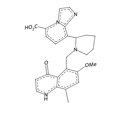 COc1cc(C)c2[nH]ccc(=O)c2c1CN1CCCCC1c1ccc(C(=O)O)n2ccnc12